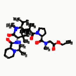 CCOC(=O)CN(C)C(=O)[C@@H]1CCCN1C(=O)/C(C)=C/[C@H](C(C)C)N(C)C(=O)[C@@H](NC(=O)C1CCCCN1C(C)C)C(C)(C)C